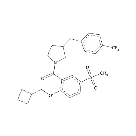 CS(=O)(=O)c1ccc(OCC2CCC2)c(C(=O)N2CCC(Cc3ccc(C(F)(F)F)cc3)C2)c1